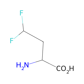 NC(CC(F)F)C(=O)O